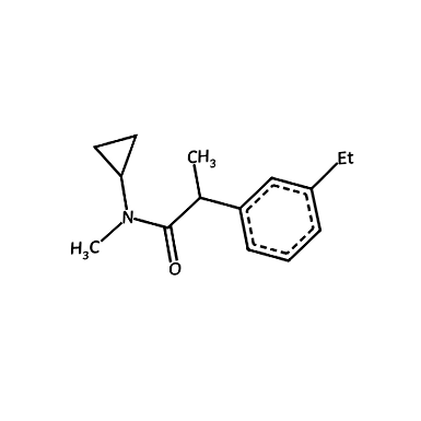 CCc1cccc(C(C)C(=O)N(C)C2CC2)c1